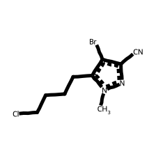 Cn1nc(C#N)c(Br)c1CCCCCl